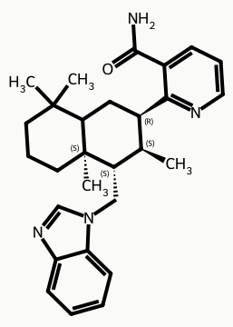 C[C@@H]1[C@H](c2ncccc2C(N)=O)CC2C(C)(C)CCC[C@]2(C)[C@H]1Cn1cnc2ccccc21